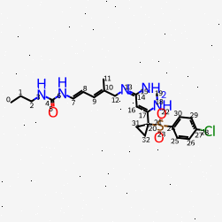 CCCNC(=O)N/C=C/C=C(\C)C/N=C(N)\C=C(/NC)C1(S(=O)(=O)c2ccc(Cl)cc2)CC1